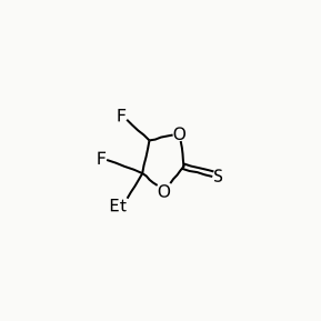 CCC1(F)OC(=S)OC1F